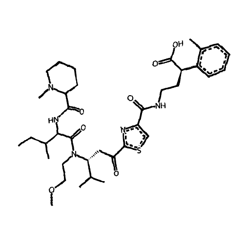 CCC(C)C(NC(=O)C1CCCCN1C)C(=O)N(CCOC)[C@H](CC(=O)c1nc(C(=O)NCC[C@@H](C(=O)O)c2ccccc2C)cs1)C(C)C